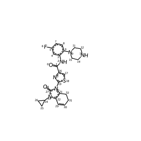 O=C(Nc1cc(F)ccc1N1CCNCC1)c1csc(-n2c3c(n(C4CC4)c2=O)C=CCC3)n1